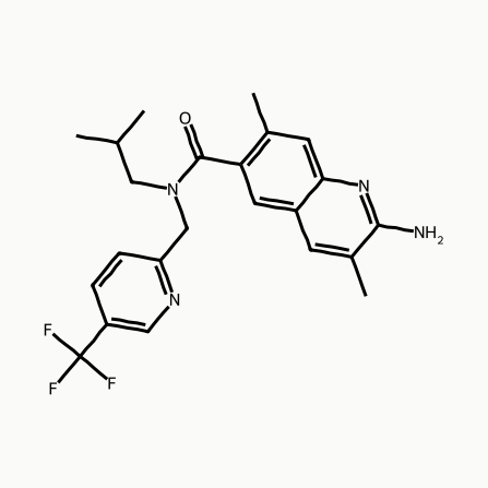 Cc1cc2nc(N)c(C)cc2cc1C(=O)N(Cc1ccc(C(F)(F)F)cn1)CC(C)C